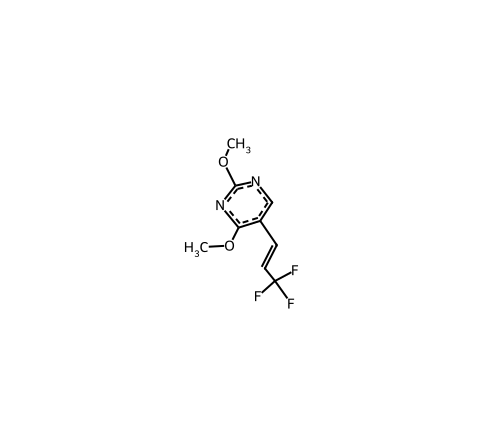 COc1ncc(/C=C/C(F)(F)F)c(OC)n1